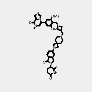 COc1cc(-c2cn(C)c(=O)c3cncn23)cc(OC)c1CN1CC(CN2CCC3(CC2)CN(c2ccc4c(c2)CN(C2CCC(=O)NC2=O)C4=O)C3)C1